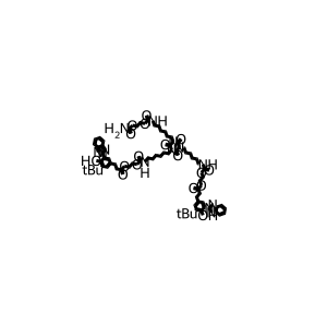 CC(C)(C)c1cc(CCC(=O)OCCOC(=O)NCCCCCCn2c(=O)n(CCCCCCNC(=O)OCCOC(N)=O)c(=O)n(CCCCCCNC(=O)OCCOC(=O)CCc3cc(-n4nc5ccccc5n4)c(O)c(C(C)(C)C)c3)c2=O)cc(-n2nc3ccccc3n2)c1O